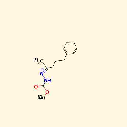 C/C(CCCc1ccccc1)=N/NC(=O)OC(C)(C)C